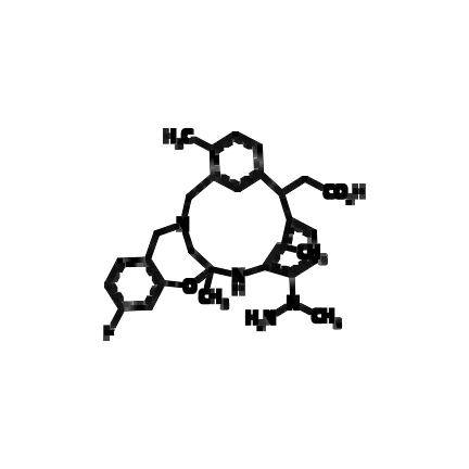 Cc1ccc2cc1CN1Cc3ccc(F)cc3OC(C)(C1)Nc1c(N(C)N)ccc(c1C)C2CC(=O)O